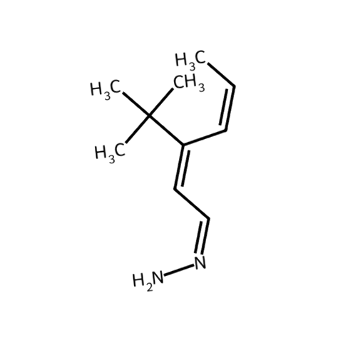 C\C=C/C(=C\C=N/N)C(C)(C)C